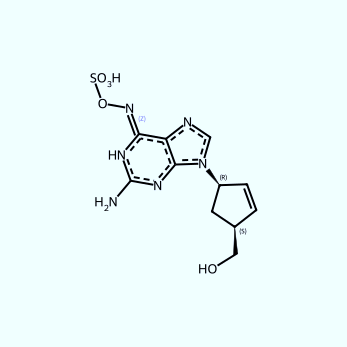 Nc1nc2c(ncn2[C@H]2C=C[C@@H](CO)C2)/c(=N/OS(=O)(=O)O)[nH]1